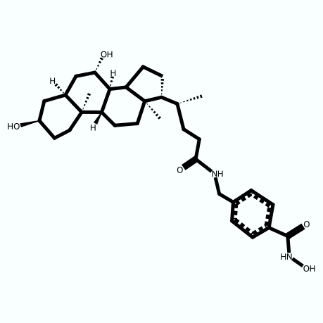 C[C@H](CCC(=O)NCc1ccc(C(=O)NO)cc1)[C@H]1CCC2[C@@H]3[C@@H](O)C[C@@H]4C[C@H](O)CC[C@]4(C)[C@H]3CC[C@@]21C